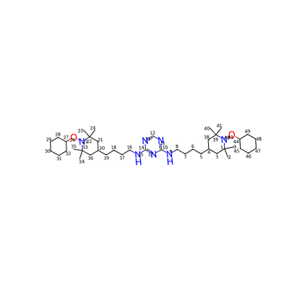 CC1(C)CC(CCCCNc2ncnc(NCCCCC3CC(C)(C)N(OC4CCCCC4)C(C)(C)C3)n2)CC(C)(C)N1OC1CCCCC1